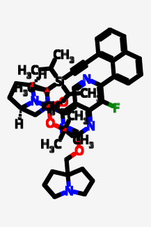 CC(C)[Si](C#Cc1cccc2cccc(-c3ncc4c(N5C[C@H]6CC[C@@H](C5)N6C(=O)OC(C)(C)C)nc(OCC56CCCN5CCC6)nc4c3F)c12)(C(C)C)C(C)C